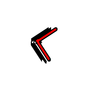 CCOCC.CCOCC.CCOCC.CCOCC.O.O.O.O.O.O.O.O.O.O.O.O.O.O.O.O.O.O.O.O.O.O.O.O.O.O.O.O.O.O.O.O.O.O.O.O.O.O.O.O.O.O.O.O.O.O.O.O.O.O.O.O.O.O.O.O.O.O.O.O.O.O.O.O.O.O.O.O.O.O.O.O.O.O.O.O.O.O.O.O.O.O.O.O.O.O.O.O.O.O.O.O.O.O.O.O